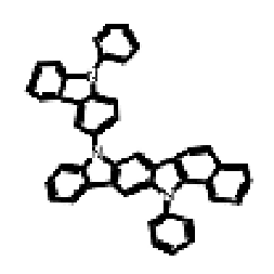 c1ccc(-n2c3ccccc3c3cc(-n4c5ccccc5c5cc6c(cc54)c4ccc5ccccc5c4n6-c4ccccc4)ccc32)cc1